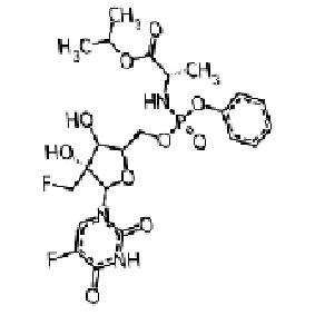 CC(C)OC(=O)[C@H](C)N[P@@](=O)(OC[C@H]1O[C@@H](n2cc(F)c(=O)[nH]c2=O)[C@@](O)(CF)C1O)Oc1ccccc1